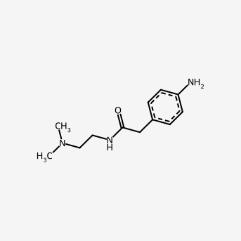 CN(C)CCNC(=O)Cc1ccc(N)cc1